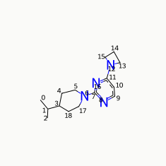 CC(C)C1CCN(c2nccc(N3CCC3)n2)CC1